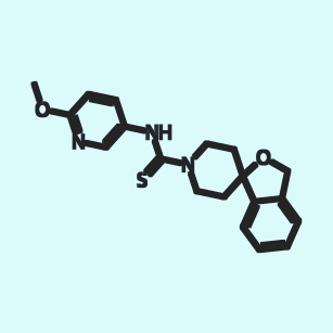 COc1ccc(NC(=S)N2CCC3(CC2)OCc2ccccc23)cn1